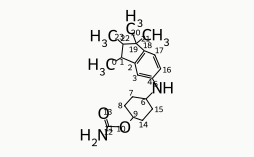 CC1c2cc(NC3CCC(OC(N)=O)CC3)ccc2C(C)(C)C1C